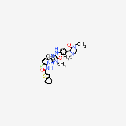 CCN1CCN(C)C(c2ccc(Nc3nc(C4(C)C=CC(F)=C(NC(=O)c5cc6c(s5)CCCC6)N4)cn(C)c3=O)cc2)C1=O